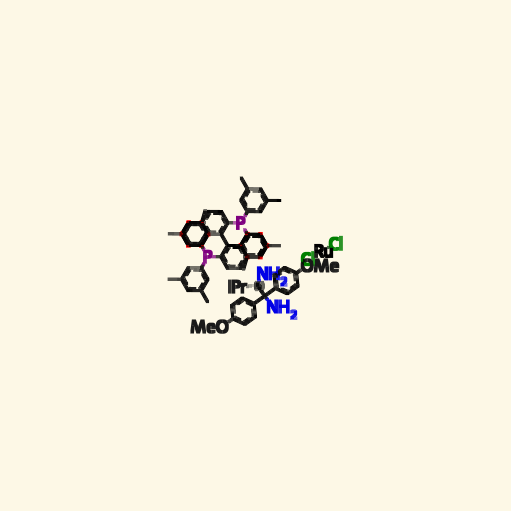 COc1ccc(C(N)(c2ccc(OC)cc2)[C@@H](N)C(C)C)cc1.Cc1cc(C)cc(P(c2cc(C)cc(C)c2)c2ccc3ccccc3c2-c2c(P(c3cc(C)cc(C)c3)c3cc(C)cc(C)c3)ccc3ccccc23)c1.[Cl][Ru][Cl]